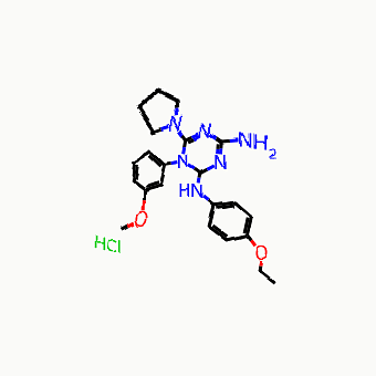 CCOc1ccc(NC2N=C(N)N=C(N3CCCC3)N2c2cccc(OC)c2)cc1.Cl